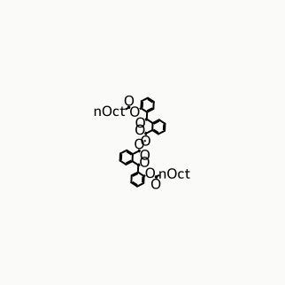 CCCCCCCCC(=O)Oc1ccccc1C(=O)c1ccccc1C(=O)OOC(=O)c1ccccc1C(=O)c1ccccc1OC(=O)CCCCCCCC